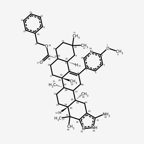 COc1ccc(C2=C3[C@@H]4CC(C)(C)CC[C@]4(C(=O)OCc4ccccc4)CC[C@@]3(C)[C@]3(C)CC[C@H]4C(C)(C)c5n[nH]c(N)c5C[C@]4(C)C3C2)cn1